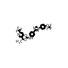 CC(OC(=O)Nc1ccc(-c2ncn(-c3ccc(OC(F)(F)F)cc3)n2)cc1)c1ccc(C(F)(F)F)nc1